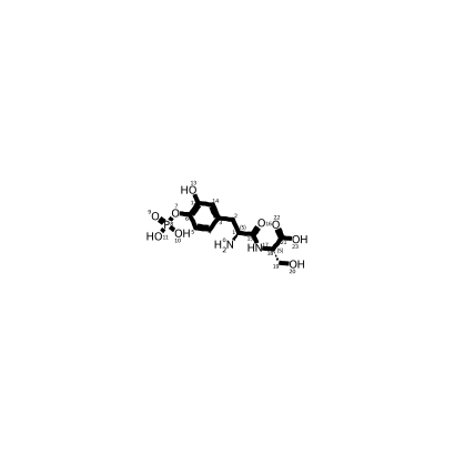 N[C@@H](Cc1ccc(OP(=O)(O)O)c(O)c1)C(=O)N[C@@H](CO)C(=O)O